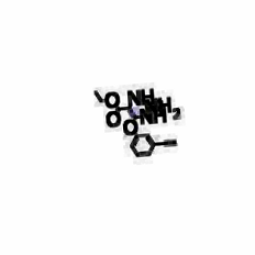 C#Cc1cccc(O/C(NN)=C(/N)C(=O)OCC)c1